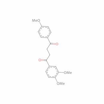 COc1ccc(C(=O)CCC(=O)c2ccc(OC)c(OC)c2)cc1